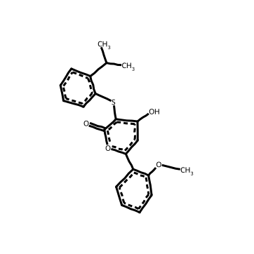 COc1ccccc1-c1cc(O)c(Sc2ccccc2C(C)C)c(=O)o1